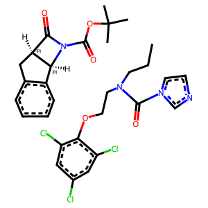 CC(C)(C)OC(=O)N1C(=O)[C@@H]2Cc3ccccc3[C@@H]21.CCCN(CCOc1c(Cl)cc(Cl)cc1Cl)C(=O)n1ccnc1